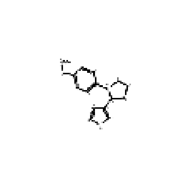 CNCc1ccc(N2CCCC2c2cscn2)cc1